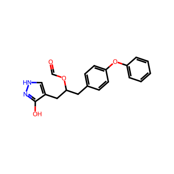 O=COC(Cc1ccc(Oc2ccccc2)cc1)Cc1c[nH]nc1O